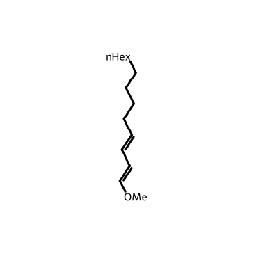 [CH2]OC=CC=CCCCCCCCCCC